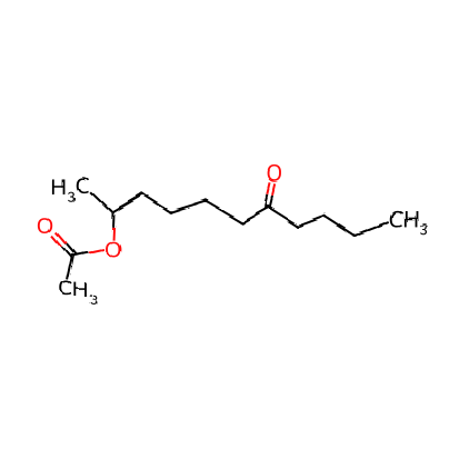 CCCCC(=O)CCCCC(C)OC(C)=O